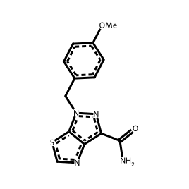 COc1ccc(Cn2nc(C(N)=O)c3ncsc32)cc1